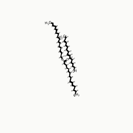 CCCCCCCCCCCCCCCCCCOC(=O)CCCCCCCCCCCCCCC.CCCCCCCCCCCCCCCCO